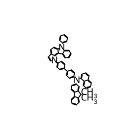 CC1(C)c2ccccc2-c2ccc(N(c3ccc(-c4ccc(-n5ccc6ccc7c(c8ccccc8n7-c7ccccc7)c65)cc4)cc3)c3cccc4ccccc34)cc21